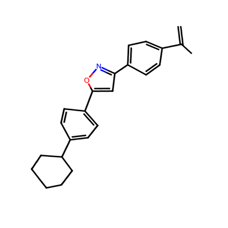 C=C(C)c1ccc(-c2cc(-c3ccc(C4CCCCC4)cc3)on2)cc1